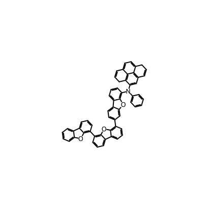 C1=Cc2cc(N(c3ccccc3)c3cccc4c3oc3cc(-c5cccc6c5oc5c(-c7cccc8c7oc7ccccc78)cccc56)ccc34)c3c4c(ccc(c24)C1)C=CC3